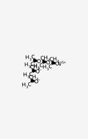 CC(C)[O-].CC(C)[O-].CC(C)[O-].CC(C)[O-].CC(C)[O-].[V+5]